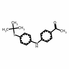 CC(=O)c1ccc(Nc2ccc(SC(C)(C)C)cc2)cc1